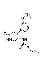 CCOC(=O)NC1CNC(=O)CC1c1cccc(OC)c1